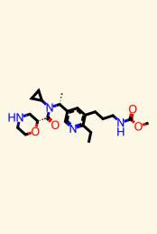 CCc1ncc([C@@H](C)N(C(=O)[C@H]2CNCCO2)C2CC2)cc1CCCNC(=O)OC